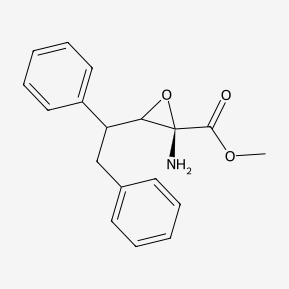 COC(=O)[C@@]1(N)OC1C(Cc1ccccc1)c1ccccc1